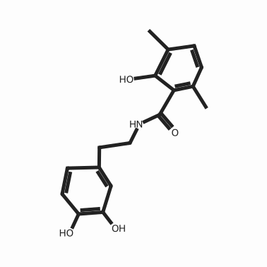 Cc1ccc(C)c(C(=O)NCCc2ccc(O)c(O)c2)c1O